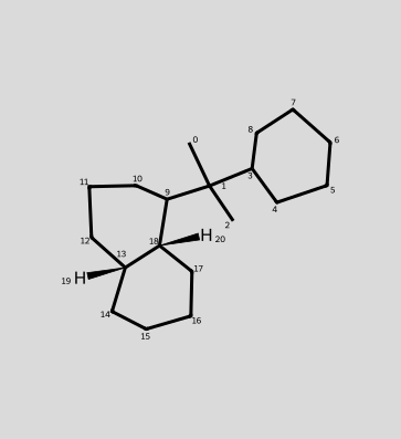 CC(C)(C1CCCCC1)C1CCC[C@H]2CCCC[C@@H]12